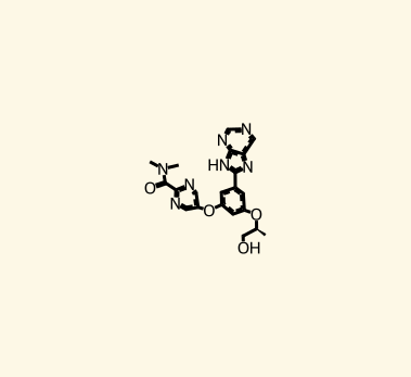 C[C@@H](CO)Oc1cc(Oc2cnc(C(=O)N(C)C)nc2)cc(-c2nc3cncnc3[nH]2)c1